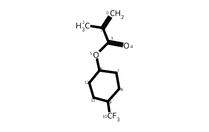 C=C(C)C(=O)OC1CCC(C(F)(F)F)CC1